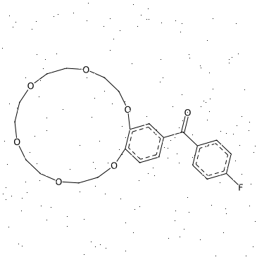 O=C(c1ccc(F)cc1)c1ccc2c(c1)OCCOCCOCCOCCOCCO2